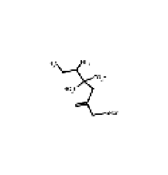 C=C(CCCCCCCCCC)CC(C(=O)O)(C(=O)O)C(N)CN